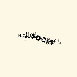 CC(=O)NCn1cc(-c2ccc(N3CCN(S(=O)(=O)c4cn(C)cn4)CC3)cc2)c(=O)o1